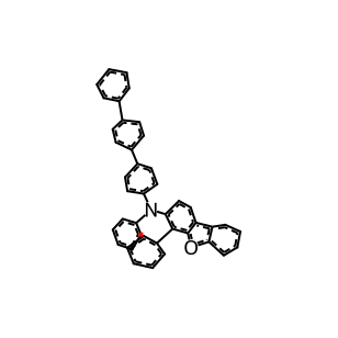 c1ccc(-c2ccc(-c3ccc(N(c4ccccc4)c4ccc5c(oc6ccccc65)c4-c4ccccc4)cc3)cc2)cc1